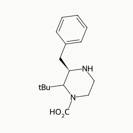 CC(C)(C)C1[C@@H](Cc2ccccc2)NCCN1C(=O)O